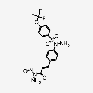 NN(N=O)C(=O)/C=C/c1ccc(N(N)S(=O)(=O)c2ccc(OC(F)(F)F)cc2)cc1